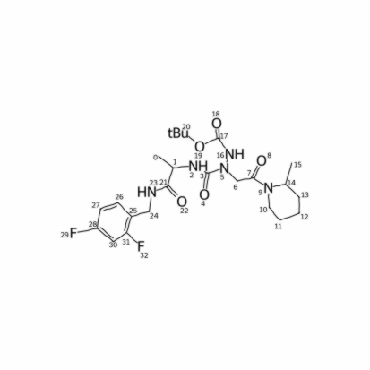 CC(NC(=O)N(CC(=O)N1CCCCC1C)NC(=O)OC(C)(C)C)C(=O)NCc1ccc(F)cc1F